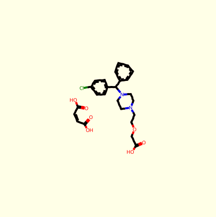 O=C(O)/C=C\C(=O)O.O=C(O)COCCN1CCN(C(c2ccccc2)c2ccc(Cl)cc2)CC1